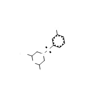 CC1CN(S(=O)(=O)c2cccc(C(=O)O)c2)CC(C)O1